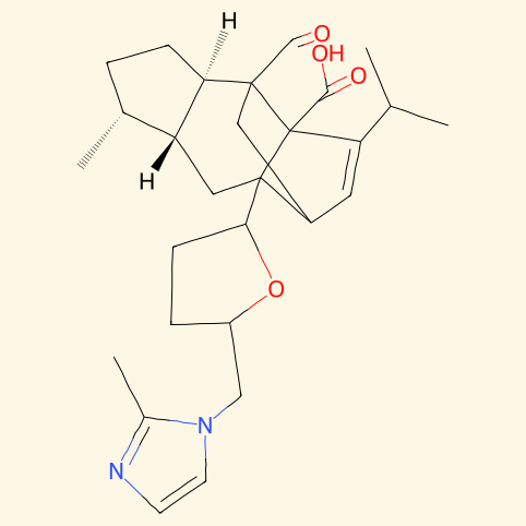 Cc1nccn1CC1CCC(C23C[C@@H]4[C@H](C)CC[C@H]4C4(C=O)CC2C=C(C(C)C)C34C(=O)O)O1